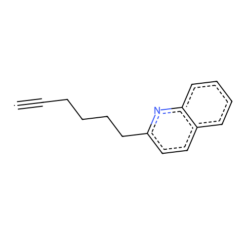 [C]#CCCCCc1ccc2ccccc2n1